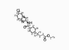 CCOC(=O)CCC(C)(C)c1ccc(C(=O)Nc2cn3cc(Cl)ccc3n2)cc1